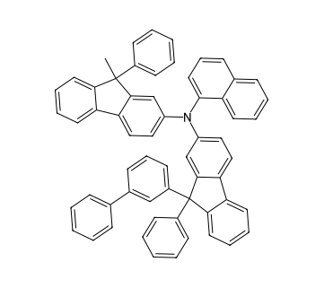 CC1(c2ccccc2)c2ccccc2-c2ccc(N(c3ccc4c(c3)C(c3ccccc3)(c3cccc(-c5ccccc5)c3)c3ccccc3-4)c3cccc4ccccc34)cc21